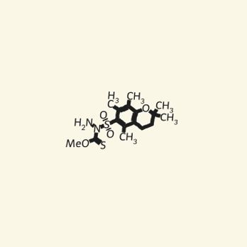 COC(=S)N(N)S(=O)(=O)c1c(C)c(C)c2c(c1C)CCC(C)(C)O2